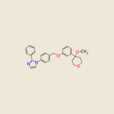 COC1(c2cccc(OCc3ccc(-n4ccnc4-c4ccccc4)cc3)c2)CCOCC1